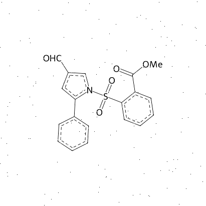 COC(=O)c1ccccc1S(=O)(=O)n1cc(C=O)cc1-c1ccccc1